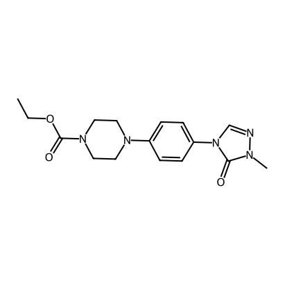 CCOC(=O)N1CCN(c2ccc(-n3cnn(C)c3=O)cc2)CC1